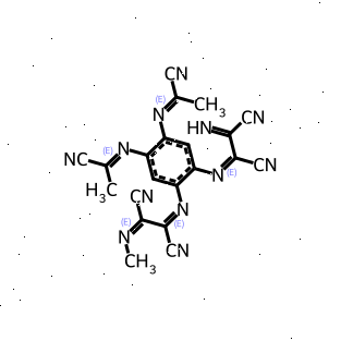 C/N=C(C#N)\C(C#N)=N/c1cc(/N=C(\C)C#N)c(/N=C(\C)C#N)cc1/N=C(/C#N)C(=N)C#N